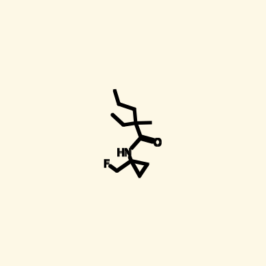 CCCC(C)(CC)C(=O)NC1(CF)CC1